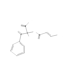 CCOC(=O)C=CC(=O)OC(CC)(C(=O)OC(C)=O)C(=O)c1ccccc1